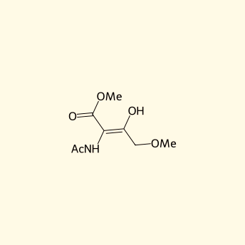 COC/C(O)=C(\NC(C)=O)C(=O)OC